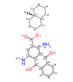 CNc1cc(C(=O)O[C@@H]2CC[C@@H]3CCCCC3C2)c(N)c2c1C(=O)c1ccccc1C2=O